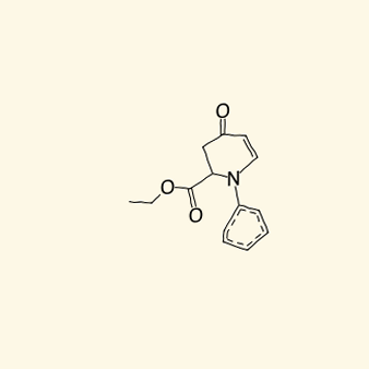 CCOC(=O)C1CC(=O)C=CN1c1ccccc1